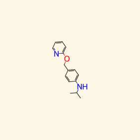 CC(C)Nc1ccc(COc2ccccn2)cc1